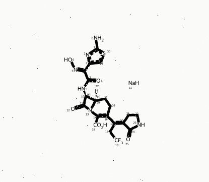 Nc1nc(C(=NO)C(=O)N[C@@H]2C(=O)N3C(C(=O)O)=C(C(CC(F)(F)F)=C4CCNC4=O)CC[C@H]23)cs1.[NaH]